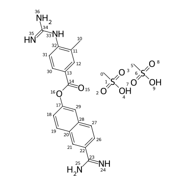 CS(=O)(=O)O.CS(=O)(=O)O.Cc1cc(C(=O)Oc2ccc3cc(C(=N)N)ccc3c2)ccc1NC(=N)N